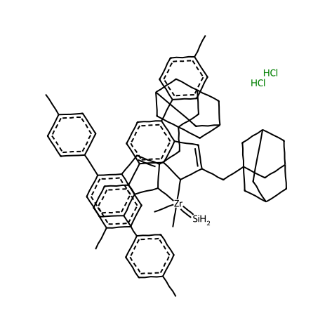 Cc1ccc(-c2ccc(-c3ccc(C)cc3)c3c2C=C(CC24CC5CC(CC(C5)C2)C4)[CH]3[Zr]([CH3])([CH3])(=[SiH2])[CH]2C(CC34CC5CC(CC(C5)C3)C4)=Cc3c(-c4ccc(C)cc4)ccc(-c4ccc(C)cc4)c32)cc1.Cl.Cl